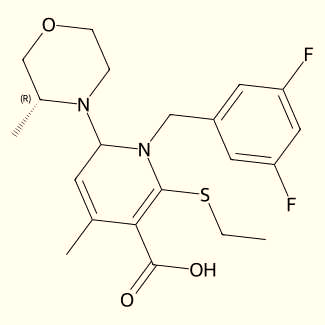 CCSC1=C(C(=O)O)C(C)=CC(N2CCOC[C@H]2C)N1Cc1cc(F)cc(F)c1